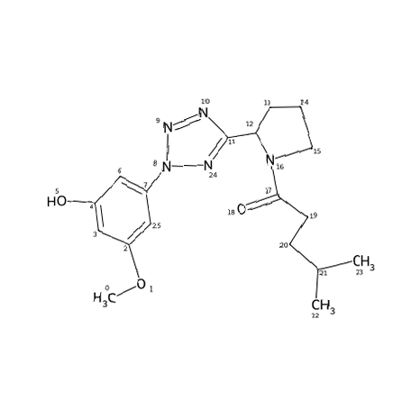 COc1cc(O)cc(-n2nnc(C3CCCN3C(=O)CCC(C)C)n2)c1